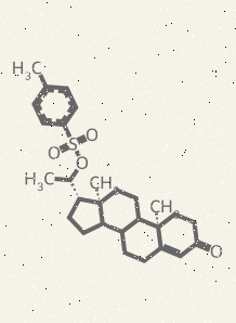 Cc1ccc(S(=O)(=O)OC(C)[C@H]2CCC3C4CCC5=CC(=O)CC[C@]5(C)C4CC[C@@]32C)cc1